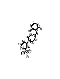 Cc1cccc(C)c1CN1CCN(c2ccnc(S(C)(=O)=O)n2)CC1